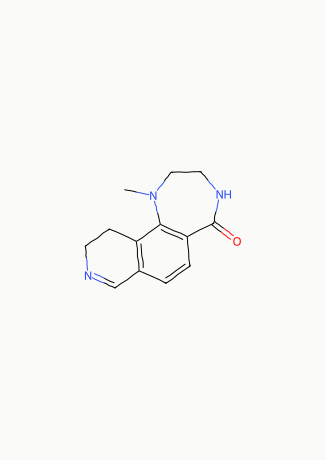 CN1CCNC(=O)c2ccc3c(c21)CCN=C3